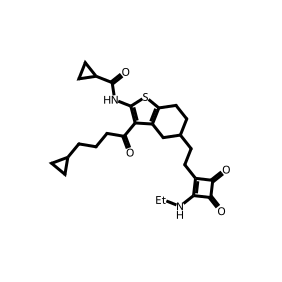 CCNc1c(CCC2CCc3sc(NC(=O)C4CC4)c(C(=O)CCCC4CC4)c3C2)c(=O)c1=O